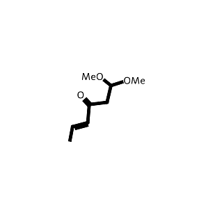 CC=CC(=O)CC(OC)OC